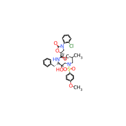 COc1ccc(S(=O)(=O)N(CC(C)C)C[C@@H](O)[C@H](Cc2ccccc2)NC(=O)[C@@H]2CN(c3ccccc3Cl)C(=O)O2)cc1